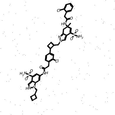 CC1(NC(=O)Cc2ccccc2Cl)C=C(S(N)(=O)=O)c2cn(CC3CCC3c3ccc(CC(=O)NC4=CC5C(=CNN5CC5CCC5)C(S(N)(=O)=O)=C4)c(Cl)c3)nc2C1